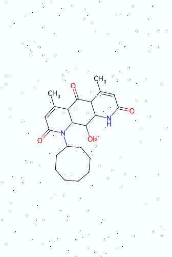 CC1=CC(=O)NC2C1C(=O)C1C(C)=CC(=O)N(C3CCCCCCC3)C1C2O